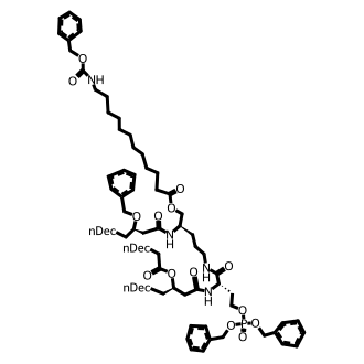 CCCCCCCCCCCC(=O)O[C@H](CCCCCCCCCCC)CC(=O)N[C@@H](CCOP(=O)(OCc1ccccc1)OCc1ccccc1)C(=O)NCCC[C@H](COC(=O)CCCCCCCCCCCNC(=O)OCc1ccccc1)NC(=O)C[C@@H](CCCCCCCCCCC)OCc1ccccc1